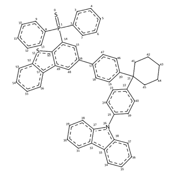 S=P(c1ccccc1)(c1ccccc1)c1cc(-c2ccc(C3(c4ccc(-n5c6ccccc6c6ccccc65)cc4)CCCCC3)cc2)cc2c1sc1ccccc12